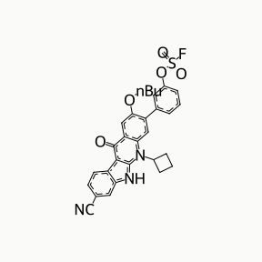 CCCCOc1cc2c(=O)c3c4ccc(C#N)cc4[nH]c3n(C3CCC3)c2cc1-c1cccc(OS(=O)(=O)F)c1